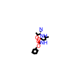 CC(=O)[C@H](C#N)NC(=O)C(CC(C)C)NC(=O)OCc1ccccc1